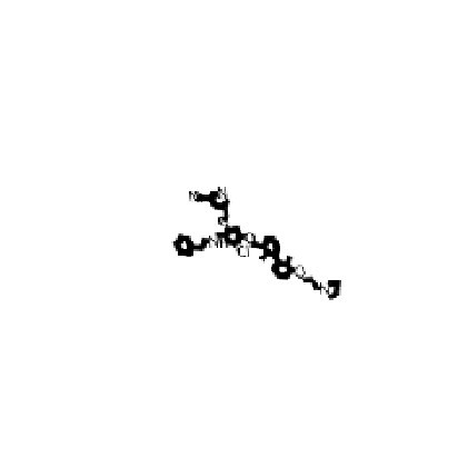 Cc1c(COc2cc(OCc3cncc(C#N)c3)c(CNCCc3ccccc3)cc2Cl)cccc1-c1cccc(OCCCN2CCCC2)c1C